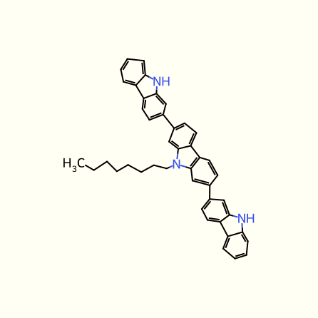 CCCCCCCCn1c2cc(-c3ccc4c(c3)[nH]c3ccccc34)ccc2c2ccc(-c3ccc4c(c3)[nH]c3ccccc34)cc21